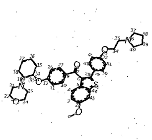 COc1ccc2c(C(=O)c3ccc(O[C@@H]4CCCC[C@H]4N4CCOCC4)cc3)c(-c3ccc(OCCN4CCCC4)cc3)sc2c1